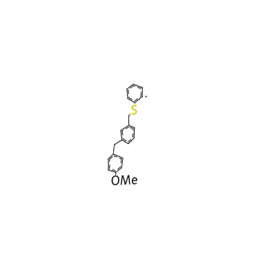 COc1ccc(Cc2cccc(CSc3[c]cccc3)c2)cc1